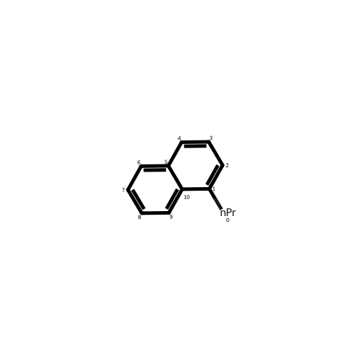 [CH]CCc1cccc2ccccc12